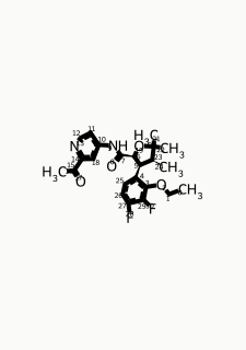 CCOc1c([C@H]2[C@@H](C(=O)Nc3ccnc(C(C)=O)c3)OC(C)(C)[C@@H]2C)ccc(F)c1F